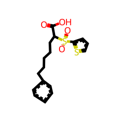 O=C(O)C(CCCCCc1ccccc1)S(=O)(=O)c1cccs1